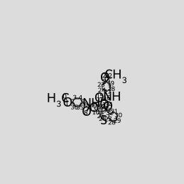 COc1ccc(NC(=O)OCC2(COC(=O)Nc3ccc(OC)cc3)CSc3ccccc3C2=O)cc1